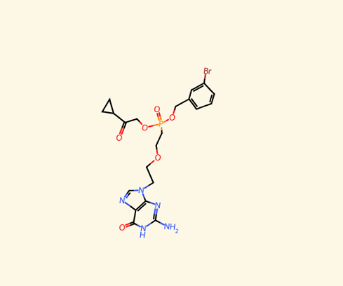 Nc1nc2c(ncn2CCOCCP(=O)(OCC(=O)C2CC2)OCc2cccc(Br)c2)c(=O)[nH]1